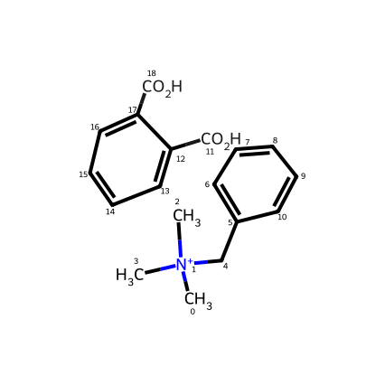 C[N+](C)(C)Cc1ccccc1.O=C(O)c1ccccc1C(=O)O